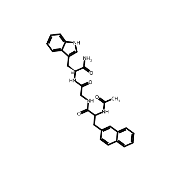 CC(=O)NC(Cc1ccc2ccccc2c1)C(=O)NCC(=O)N[C@@H](Cc1c[nH]c2ccccc12)C(N)=O